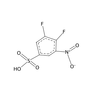 O=[N+]([O-])c1cc(S(=O)(=O)O)cc(F)c1F